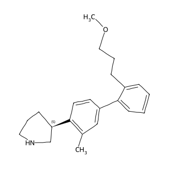 COCCCc1ccccc1-c1ccc([C@@H]2CCCNC2)c(C)c1